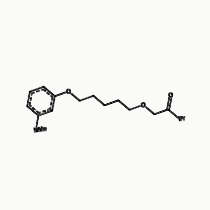 CNc1cccc(OCCCCCOCC(=O)C(C)C)c1